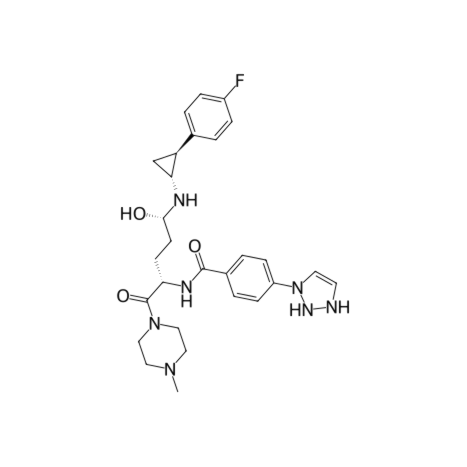 CN1CCN(C(=O)[C@H](CC[C@H](O)N[C@@H]2C[C@H]2c2ccc(F)cc2)NC(=O)c2ccc(N3C=CNN3)cc2)CC1